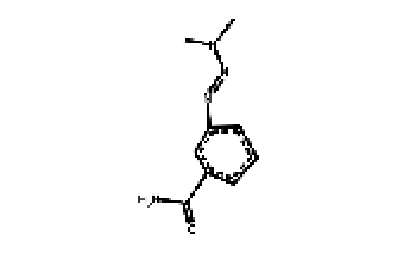 CN(C)N=Nc1cccc(C(N)=O)c1